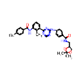 Cc1c(NC(=O)c2ccc(C(C)(C)C)cc2)cccc1-c1ncnc(Nc2ccc(C(=O)NCC3COC(C)(C)O3)cc2)n1